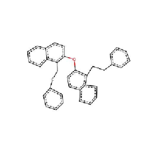 c1ccc(CCc2c(Oc3ccc4ccccc4c3CCc3ccccc3)ccc3ccccc23)cc1